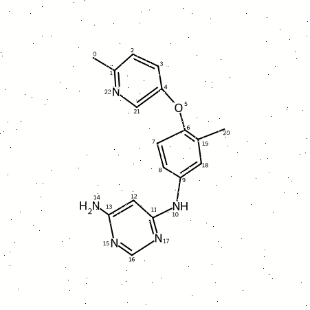 Cc1ccc(Oc2ccc(Nc3cc(N)ncn3)cc2C)cn1